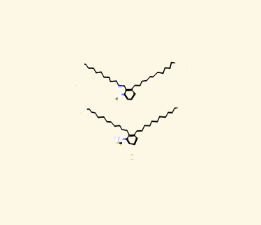 CCCCCCCCCCCCc1cccc(NC(=S)S)c1CCCCCCCCCCCC.CCCCCCCCCCCCc1cccc(NC(=S)S)c1CCCCCCCCCCCC.[S-2].[S-2].[Zn+2].[Zn+2].[Zn+2]